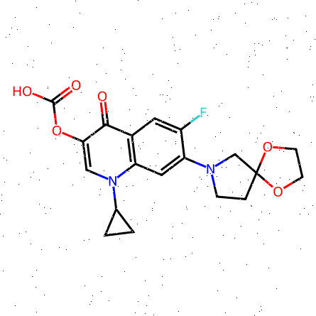 O=C(O)Oc1cn(C2CC2)c2cc(N3CCC4(C3)OCCO4)c(F)cc2c1=O